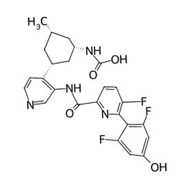 C[C@@H]1C[C@H](NC(=O)O)C[C@H](c2ccncc2NC(=O)c2ccc(F)c(-c3c(F)cc(O)cc3F)n2)C1